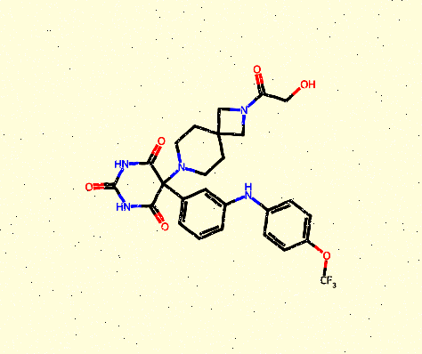 O=C1NC(=O)C(c2cccc(Nc3ccc(OC(F)(F)F)cc3)c2)(N2CCC3(CC2)CN(C(=O)CO)C3)C(=O)N1